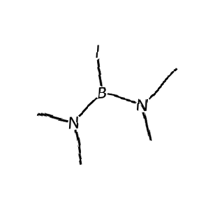 CN(C)B(I)N(C)C